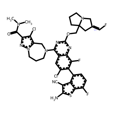 CN(C)C(=O)c1nn2c(c1Cl)CN(c1nc(OCC34CCCN3C/C(=C\F)C4)nc3c(F)c(-c4ccc(F)c5sc(N)c(C#N)c45)c(Cl)cc13)CCC2